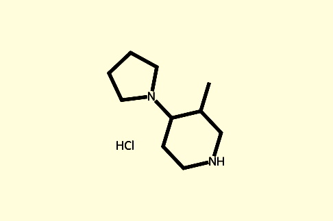 CC1CNCCC1N1CCCC1.Cl